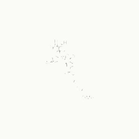 COCCOCCOCCOC(=O)c1ccc(C(=O)OCC(CC(C)C(=O)NC(C)C)OC(=O)c2ccc(C(C)=O)cc2)cc1